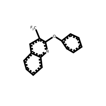 FC(F)(F)c1cc2ccccc2nc1Oc1ccccc1